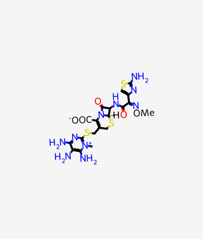 CO/N=C(\C(=O)NC1C(=O)N2C(C(=O)[O-])=C(CSc3nc(N)c(N)c(N)[n+]3C)CS[C@H]12)c1csc(N)n1